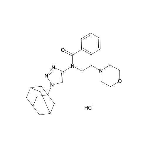 Cl.O=C(c1ccccc1)N(CCN1CCOCC1)c1cn(C23CC4CC(CC(C4)C2)C3)nn1